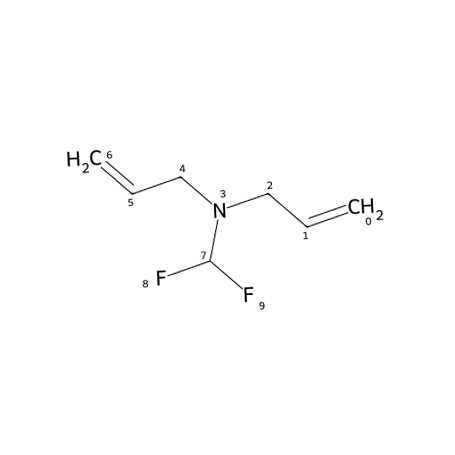 C=CCN(CC=C)C(F)F